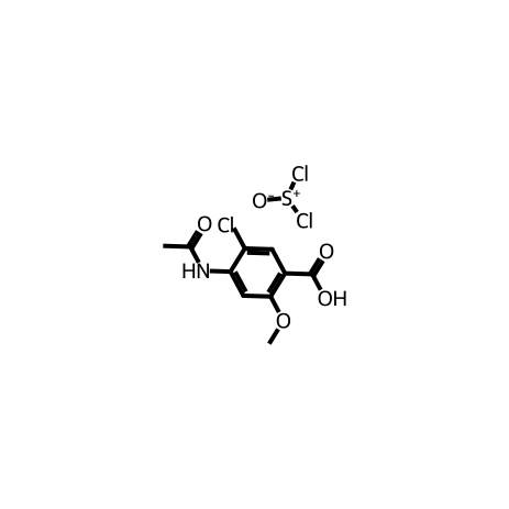 COc1cc(NC(C)=O)c(Cl)cc1C(=O)O.[O-][S+](Cl)Cl